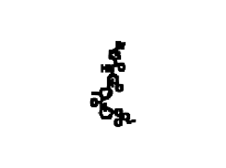 CCOC(=O)OC1CCCN(C(=O)c2ccc(N3CC(NC(=O)c4ccc(Br)s4)CC3=O)cc2C)C1